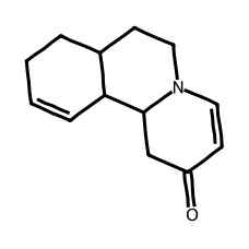 O=C1C=CN2CCC3CCC=CC3C2C1